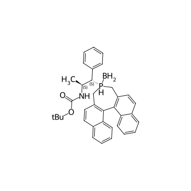 B[PH]1([C@@H](c2ccccc2)[C@H](C)NC(=O)OC(C)(C)C)Cc2ccc3ccccc3c2-c2c(ccc3ccccc23)C1